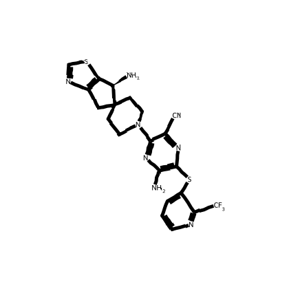 N#Cc1nc(Sc2cccnc2C(F)(F)F)c(N)nc1N1CCC2(CC1)Cc1ncsc1[C@H]2N